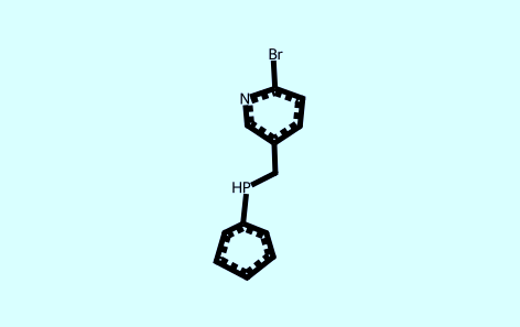 Brc1ccc(CPc2ccccc2)cn1